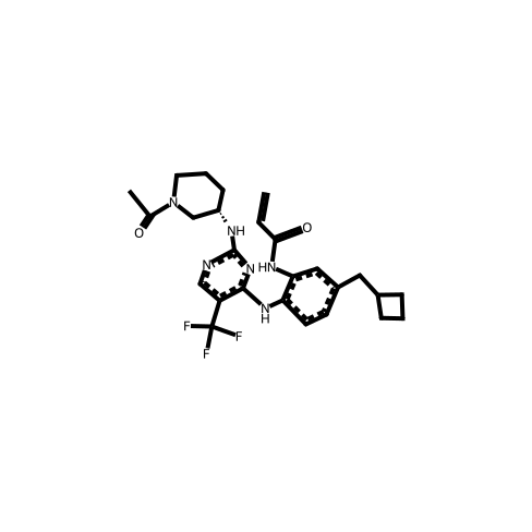 C=CC(=O)Nc1cc(CC2CCC2)ccc1Nc1nc(N[C@H]2CCCN(C(C)=O)C2)ncc1C(F)(F)F